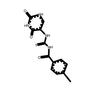 Cc1ccc(C(=O)NC(=S)Nc2c[nH]c(=O)[nH]c2=O)cc1